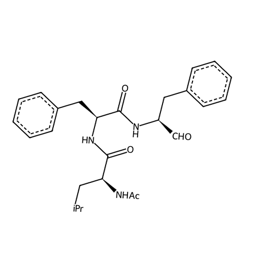 CC(=O)N[C@@H](CC(C)C)C(=O)N[C@@H](Cc1ccccc1)C(=O)N[C@H](C=O)Cc1ccccc1